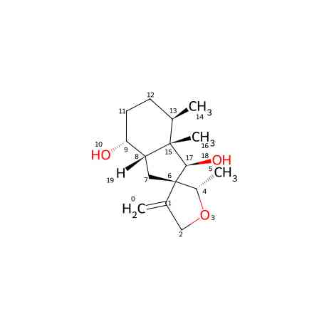 C=C1CO[C@@H](C)[C@]12C[C@@H]1[C@H](O)CC[C@@H](C)[C@]1(C)[C@H]2O